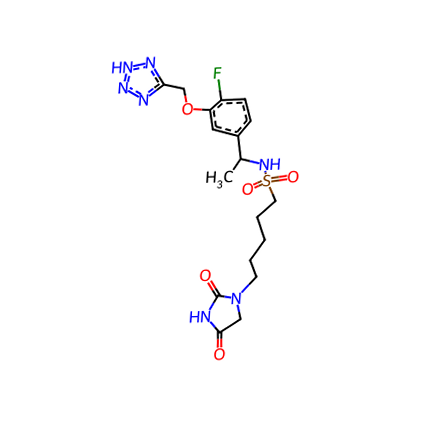 CC(NS(=O)(=O)CCCCCN1CC(=O)NC1=O)c1ccc(F)c(OCc2nn[nH]n2)c1